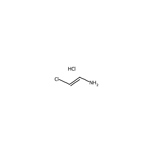 Cl.NC=CCl